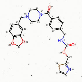 O=C(NCc1ccc(C(=O)N2CCN(Cc3ccc4c(c3)OCO4)CC2)cc1)OCc1nccs1